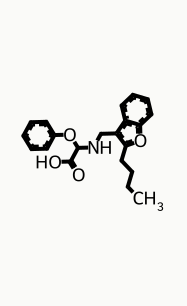 CCCCc1oc2ccccc2c1CNC(Oc1ccccc1)C(=O)O